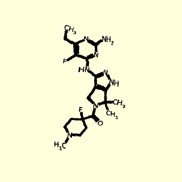 CCc1nc(N)nc(Nc2n[nH]c3c2CN(C(=O)C2(F)CCN(C)CC2)C3(C)C)c1F